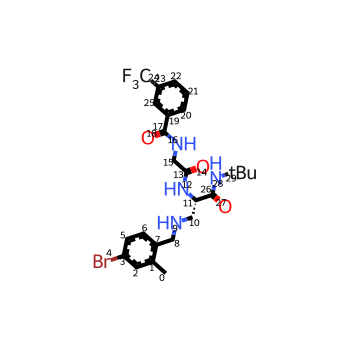 Cc1cc(Br)ccc1CNC[C@H](NC(=O)CNC(=O)c1cccc(C(F)(F)F)c1)C(=O)NC(C)(C)C